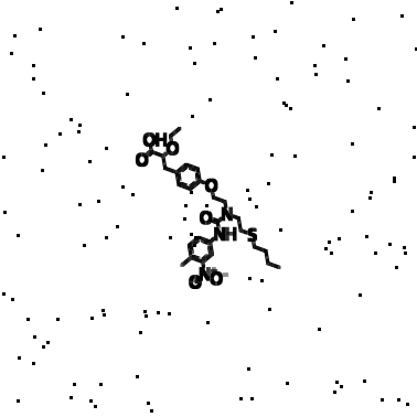 CCCCSCCN(CCOc1ccc(CC(OCC)C(=O)O)cc1)C(=O)Nc1ccc(C)c([N+](=O)[O-])c1